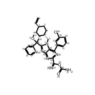 C=C[C@H]1CC[C@H](Cn2c(C(C)(OC)c3ccccn3)nc3nc(C(=N)OC(N)=O)nc(-c4cccc(Cl)c4)c32)CC1